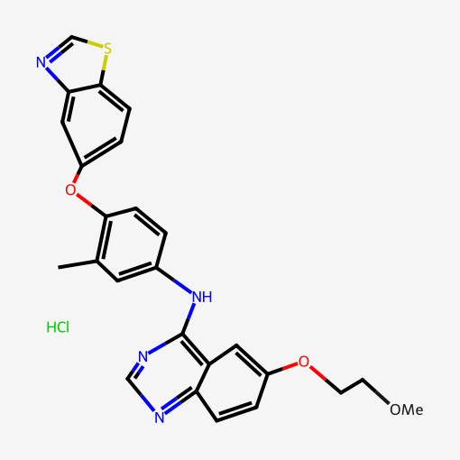 COCCOc1ccc2ncnc(Nc3ccc(Oc4ccc5scnc5c4)c(C)c3)c2c1.Cl